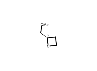 COC[C@@H]1CCO1